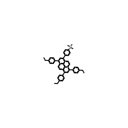 CCc1ccc(-c2cc(-c3ccc(CC)cc3)c3ccc4c(-c5ccc([Si](C)(C)C)cc5)cc(-c5ccc(CC)cc5)c5ccc2c3c54)cc1